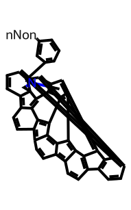 CCCCCCCCCc1cccc(C2N(C)CC34C5=c6ccc7c8ccc9c%10ccc%11c%12ccc%13c%14c(c%15c%16c3c6c7c3c8c9c6c%10c%11c(c%14%12)c%15c6c%163)C24C=%13C=C5)c1